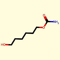 NC(=O)OCCCCCCO